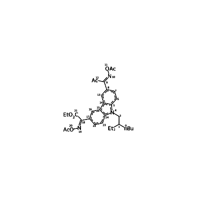 CCCCC(CC)Cn1c2ccc(/C(=N/OC(C)=O)C(C)=O)cc2c2cc(/C(=N/OC(C)=O)C(=O)OCC)ccc21